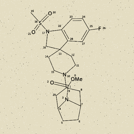 COC(=O)N1C2CCC1CC(N1CCC3(CC1)CN(S(C)(=O)=O)c1ccc(F)cc13)C2